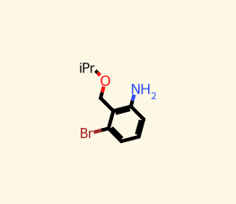 CC(C)OCc1c(N)cccc1Br